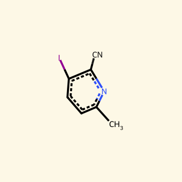 Cc1ccc(I)c(C#N)n1